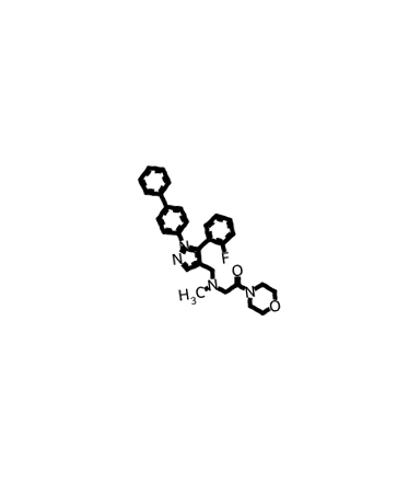 CN(CC(=O)N1CCOCC1)Cc1cnn(-c2ccc(-c3ccccc3)cc2)c1-c1ccccc1F